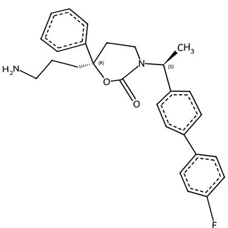 C[C@@H](c1ccc(-c2ccc(F)cc2)cc1)N1CC[C@](CCCN)(c2ccccc2)OC1=O